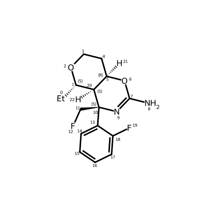 CC[C@@H]1OCC[C@H]2OC(N)=N[C@](CF)(c3ccccc3F)[C@@H]12